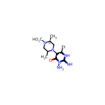 CCc1[nH]c(=N)n(N)c(=O)c1N1C[C@H](C)N(C(=O)O)CC1C